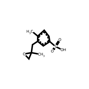 Cc1ccc(S(=O)(=O)O)cc1CC1(C)CO1